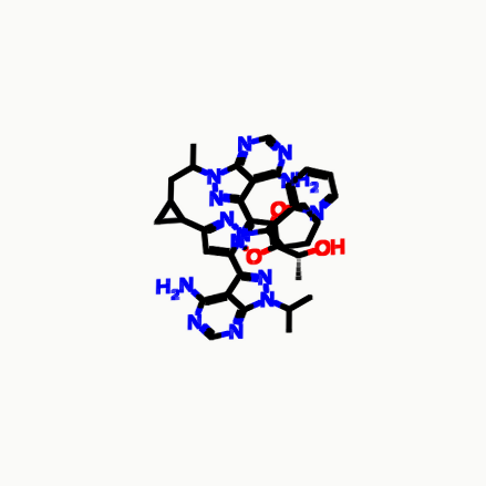 CC(C)n1nc(-c2cc(C3CC3CC(C)n3nc(-c4noc([C@@H](C)O)c4-c4ccccn4)c4c(N)ncnc43)nn2C2CCCCO2)c2c(N)ncnc21